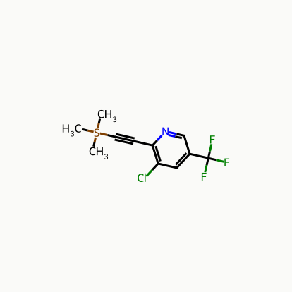 CS(C)(C)C#Cc1ncc(C(F)(F)F)cc1Cl